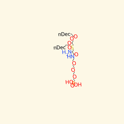 CCCCCCCCCCCC(=O)OCC(CSCC(N)C(=O)NCCOCCOCCOCCP(=O)(O)O)OC(=O)CCCCCCCCCCC